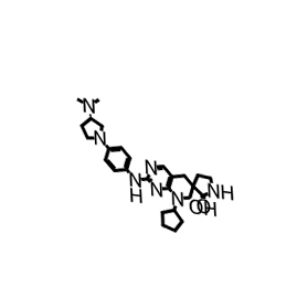 CN(C)[C@H]1CCN(c2ccc(Nc3ncc4c(n3)N(C3CCCC3)C(O)C3(CCNC3=O)C4)cc2)C1